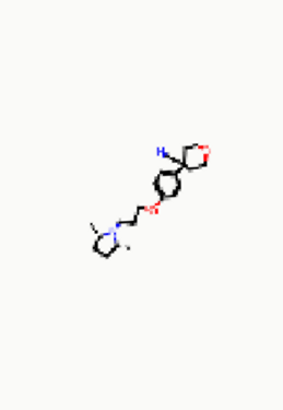 C[C@@H]1CC[C@@H](C)N1CCCOc1ccc(C2(C#N)CCOCC2)cc1